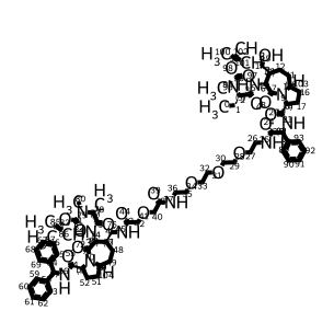 CC[C@@H](C(=O)N[C@@H]1C(=O)N2[C@@H](CC[C@@H]1CO)CC[C@H]2C(=O)N[C@H](C(=O)NCCOCCOCCOCCNC(=O)COCC(=O)NC[C@H]1CC[C@H]2CC[C@@H](C(=O)NC(c3ccccc3)c3ccccc3)N2C(=O)[C@H]1NC(=O)[C@H](C)N(C)C(=O)OC(C)(C)C)c1ccccc1)N(C)C(=O)OC(C)(C)C